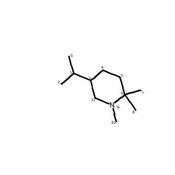 CC(C)C1CCC(C)(C)N(C)C1